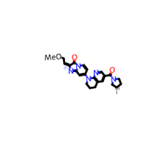 COC/C=C1/N=C2C=C(N3CCCc4cc(C(=O)N5CC[C@H](C)C5)cnc43)C=CN2C1=O